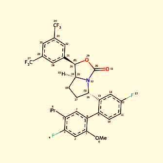 COc1cc(F)c(C(C)C)cc1-c1ccc(F)cc1[C@@H]1CC[C@H]2[C@@H](c3cc(C(F)(F)F)cc(C(F)(F)F)c3)OC(=O)N12